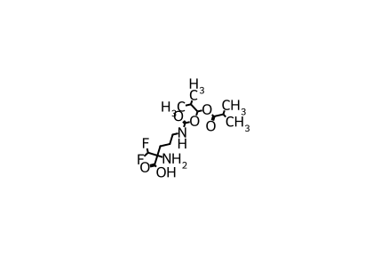 CC(C)C(=O)OC(OC(=O)NCCCC(N)(C(=O)O)C(F)F)C(C)C